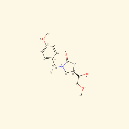 COCC(O)[C@@H]1CC(=O)N([C@H](C)c2ccc(OC)cc2)C1